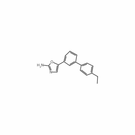 CCc1ccc(-c2cccc(-c3cnc(N)o3)c2)cc1